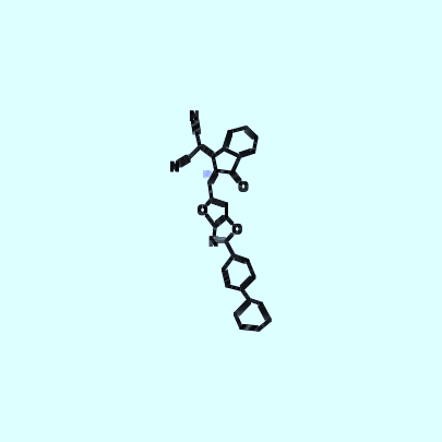 N#CC(C#N)=C1/C(=C/c2cc3oc(-c4ccc(-c5ccccc5)cc4)nc3o2)C(=O)c2ccccc21